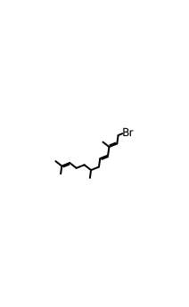 CC(C)=CCCC(C)C/C=C/C(C)=C/CBr